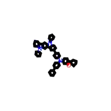 c1ccc(-c2ccc(N(c3ccc(-c4ccc5c(c4)c4cc6c(cc4n5-c4ccccc4)c4ccccc4n6-c4ccccc4)cc3)c3ccc4c(c3)oc3ccccc34)cc2)cc1